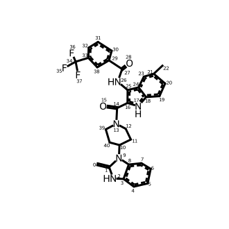 C=C1Nc2ccccc2N1C1CCN(C(=O)c2[nH]c3ccc(C)cc3c2NC(=O)c2cccc(C(F)(F)F)c2)CC1